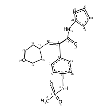 CS(=O)(=O)Nc1ccc(/C(=C\C2CCOCC2)C(=O)Nc2nccs2)cc1